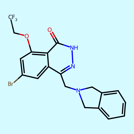 O=c1[nH]nc(CN2Cc3ccccc3C2)c2cc(Br)cc(OCC(F)(F)F)c12